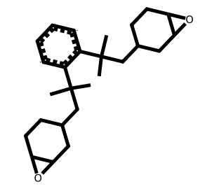 CC(C)(CC1CCC2OC2C1)c1[c]cc[c]c1C(C)(C)CC1CCC2OC2C1